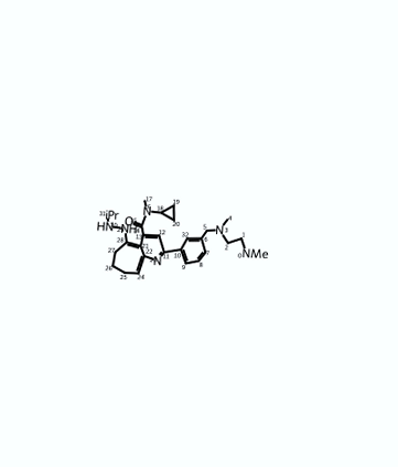 CNCCN(C)Cc1cccc(-c2cc(C(=O)N(C)C3CC3)c3c(n2)=CCCCC=3NNC(C)C)c1